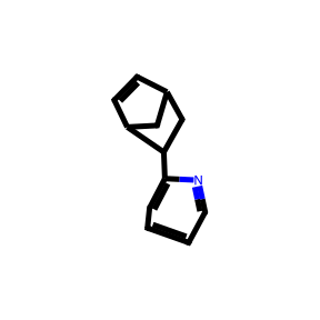 C1=CC2CC1CC2c1ccccn1